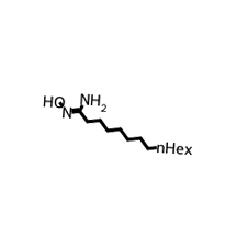 CCCCCCCCCCCCC/C(N)=N/O